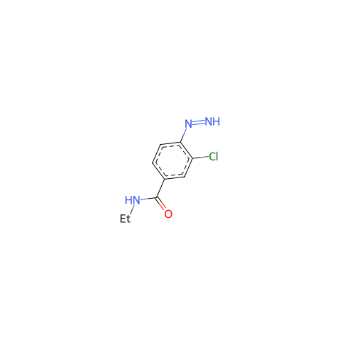 CCNC(=O)c1ccc(N=N)c(Cl)c1